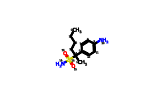 CCCCC(C)(c1ccc(N)cc1)S(N)(=O)=O